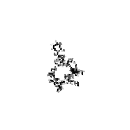 CC(C)[C@H]1CCN2C(=O)[C@@H](NC(=O)OCc3ccccc3)C(C)(C)COC(=O)[C@@H]3C[C@@H](C[C@@H](C#N)NC(=O)[C@H]12)C(=O)O3